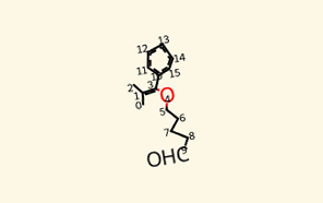 CC(C)=C(OCCCCC=O)c1ccccc1